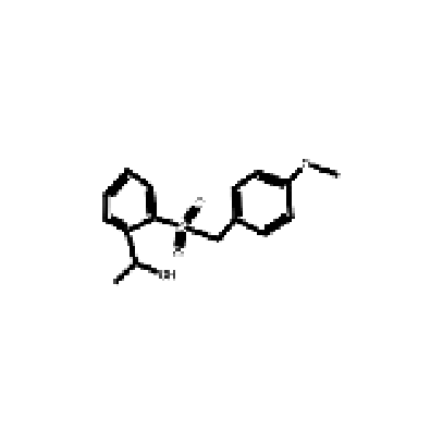 COc1ccc(CS(=O)(=O)c2ccccc2C(C)O)cc1